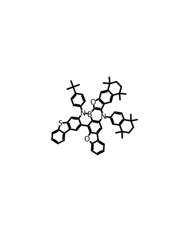 CC(C)(C)c1ccc(N2B3c4oc5cc6c(cc5c4N(c4ccc5c(c4)C(C)(C)CCC5(C)C)c4cc5c(oc7ccccc75)c(c43)-c3cc4c(cc32)sc2ccccc24)C(C)(C)CCC6(C)C)cc1